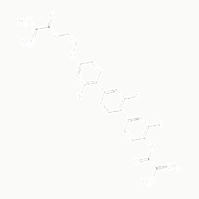 C=C(C)C(=O)O/C=C\Oc1ccc(-c2ccc(-c3ccc(OC(=O)C(=C)C)c(F)c3)c(F)c2)c(F)c1